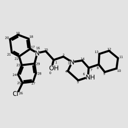 OC(CN1CCNC(C2CCCCC2)C1)Cn1c2ccccc2c2cc(Cl)ccc21